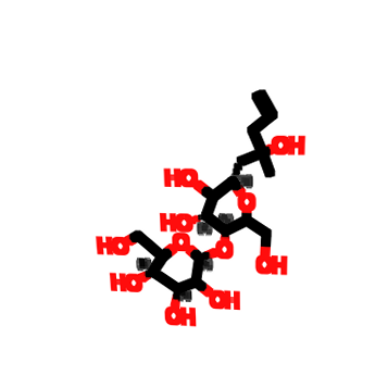 C=CCC(C)(O)C[C@@H]1OC(CO)[C@@H](O[C@@H]2OC(CO)[C@H](O)[C@H](O)C2O)[C@H](O)C1O